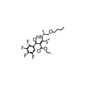 CCCCOC[C@H](C)N/C(SC)=C(/C(=O)OCC)C(=O)c1cc(F)c(F)c(F)c1F